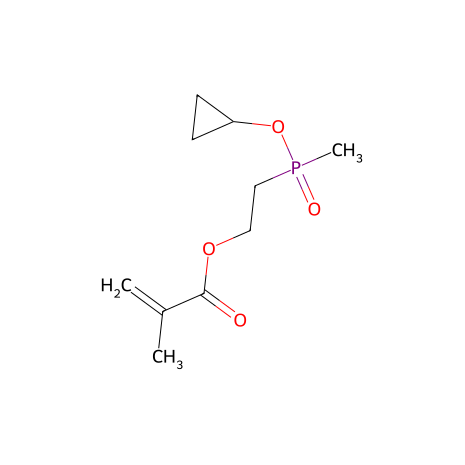 C=C(C)C(=O)OCCP(C)(=O)OC1CC1